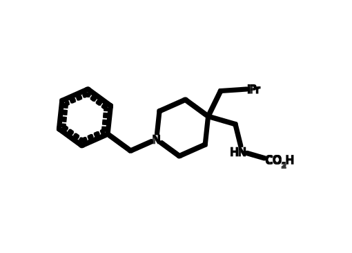 CC(C)CC1(CNC(=O)O)CCN(Cc2ccccc2)CC1